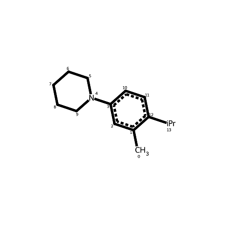 Cc1cc(N2CCCCC2)ccc1C(C)C